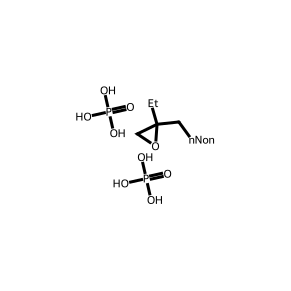 CCCCCCCCCCC1(CC)CO1.O=P(O)(O)O.O=P(O)(O)O